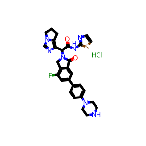 Cl.O=C(Nc1nccs1)C(c1ncn2c1CCC2)N1Cc2c(F)cc(-c3ccc(N4CCNCC4)cc3)cc2C1=O